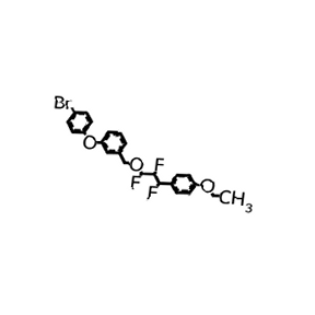 CCOc1ccc(C(F)C(F)C(F)OCc2cccc(Oc3ccc(Br)cc3)c2)cc1